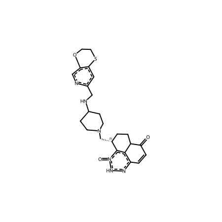 O=C1C=Cc2n[nH][n+](=O)c3c2C1CC[C@H]3CN1CCC(NCc2cc3c(cn2)OCCS3)CC1